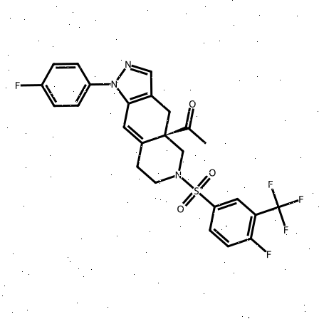 CC(=O)[C@]12Cc3cnn(-c4ccc(F)cc4)c3C=C1CCN(S(=O)(=O)c1ccc(F)c(C(F)(F)F)c1)C2